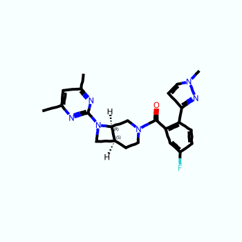 Cc1cc(C)nc(N2C[C@@H]3CCN(C(=O)c4cc(F)ccc4-c4ccn(C)n4)C[C@@H]32)n1